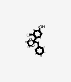 Oc1ccc(C2(Cc3ccccc3)OCCO2)c(Cl)c1